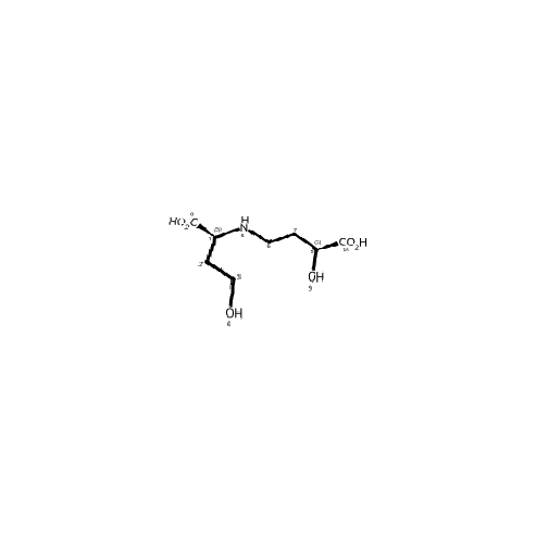 O=C(O)[C@H](CCO)NCC[C@H](O)C(=O)O